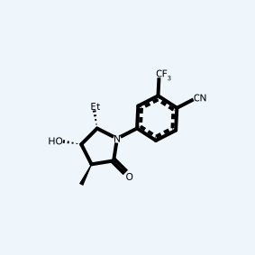 CC[C@H]1[C@@H](O)[C@H](C)C(=O)N1c1ccc(C#N)c(C(F)(F)F)c1